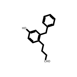 O=CCCCc1ccc(O)cc1Cc1ccccc1